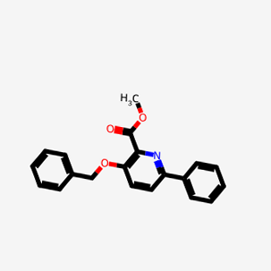 COC(=O)c1nc(-c2ccccc2)ccc1OCc1ccccc1